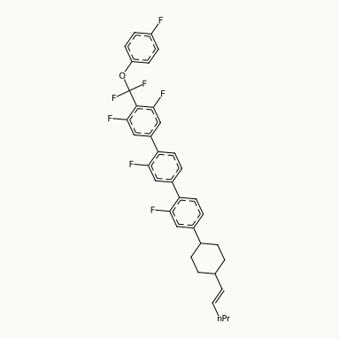 CCC/C=C/C1CCC(c2ccc(-c3ccc(-c4cc(F)c(C(F)(F)Oc5ccc(F)cc5)c(F)c4)c(F)c3)c(F)c2)CC1